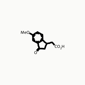 COc1ccc2c(c1)C(=O)CC2CC(=O)O